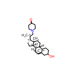 C[C@H](CN1CCC(=O)CC1)[C@H]1CC[C@H]2[C@@H]3CC=C4CC(O)CC[C@]4(C)[C@H]3CC[C@]12C